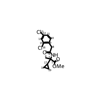 COC(=O)C(C)(NC(=O)Cc1ccc(Cl)cc1Cl)C1CC1